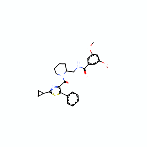 COc1cc(OC)cc(C(=O)NCC2CCCCN2C(=O)c2nc(C3CC3)sc2-c2ccccc2)c1